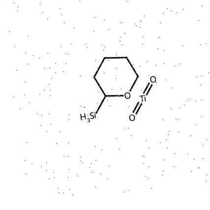 [O]=[Ti]=[O].[SiH3]C1CCCCO1